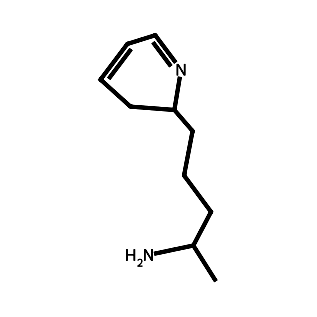 CC(N)CCCC1CC=CC=N1